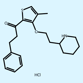 Cc1csc(C(=O)CCc2ccccc2)c1OCCC1CCCCN1.Cl